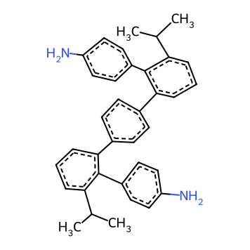 CC(C)c1cccc(-c2ccc(-c3cccc(C(C)C)c3-c3ccc(N)cc3)cc2)c1-c1ccc(N)cc1